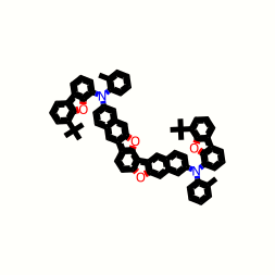 Cc1ccccc1N(c1ccc2cc3c(cc2c1)oc1c3ccc2oc3cc4cc(N(c5ccccc5C)c5cccc6c5oc5c(C(C)(C)C)cccc56)ccc4cc3c21)c1cccc2c1oc1c(C(C)(C)C)cccc12